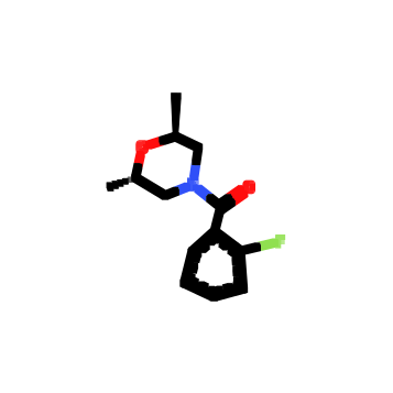 C[C@H]1CN(C(=O)c2ccccc2F)C[C@H](C)O1